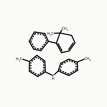 CC1(C)CC=CC=C1c1ccccc1.Cc1ccc(Pc2ccc(C)cc2)cc1